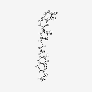 COc1cnc2cc(CNCCCC3CN(c4ccc5c(c4)NC(=O)CS5)C(=O)O3)c(F)cc2n1